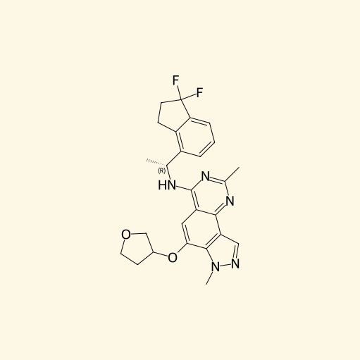 Cc1nc(N[C@H](C)c2cccc3c2CCC3(F)F)c2cc(OC3CCOC3)c3c(cnn3C)c2n1